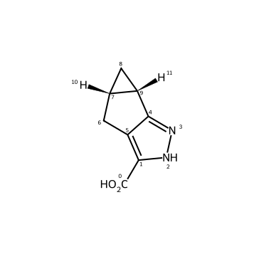 O=C(O)c1[nH]nc2c1C[C@@H]1C[C@H]21